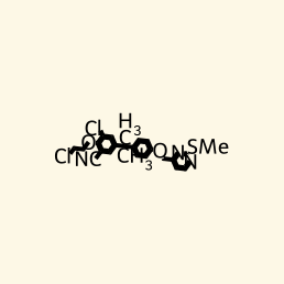 CSc1nccc(COc2ccc(C(C)(C)c3cc(Cl)c(OCCCl)c(C#N)c3)cc2)n1